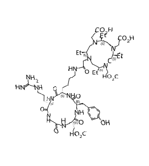 CC[C@H]1CN(CC(=O)O)[C@@H](CC)CN(CC(=O)NCCCC[C@@H]2NC(=O)[C@@H](Cc3ccc(O)cc3)NC(=O)[C@H](CC(=O)O)NC(=O)CNC(=O)[C@H](CCCNC(=N)N)NC2=O)[C@@H](CC)CN(CC(=O)O)[C@@H](CC)CN1CC(=O)O